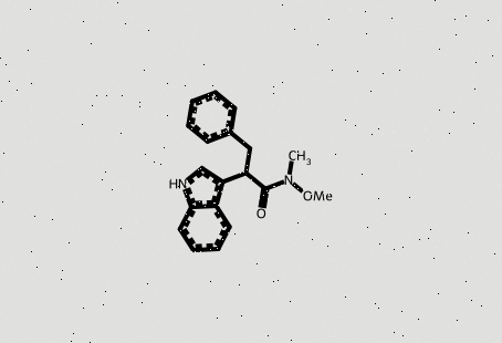 CON(C)C(=O)C(Cc1ccccc1)c1c[nH]c2ccccc12